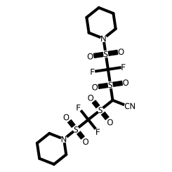 N#CC(S(=O)(=O)C(F)(F)S(=O)(=O)N1CCCCC1)S(=O)(=O)C(F)(F)S(=O)(=O)N1CCCCC1